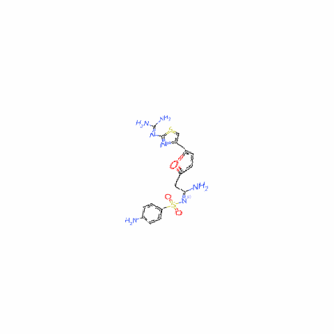 NC(N)=Nc1nc(-c2ccc(C/C(N)=N\S(=O)(=O)c3ccc(N)cc3)o2)cs1